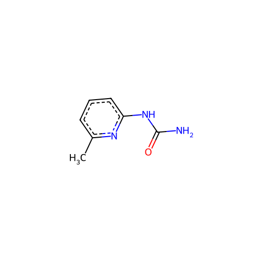 Cc1cccc(NC(N)=O)n1